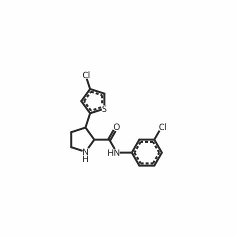 O=C(Nc1cccc(Cl)c1)C1NCCC1c1cc(Cl)cs1